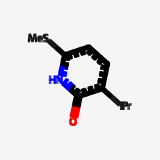 CSc1ccc(C(C)C)c(=O)[nH]1